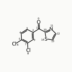 O=C(c1ccc(Cl)c(Cl)c1)c1nccs1